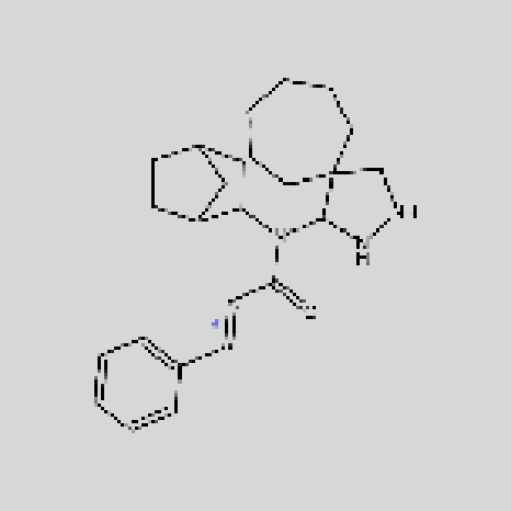 O=C(/C=C/c1ccccc1)N(C1CC2CCC1C2)C1NNCC12CCCCCC2